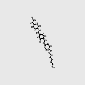 CCCCCCCCC[C@H]1CC[C@H](CCc2ccc(CC[C@H]3CC[C@H](CCC)CC3)cc2C)CC1